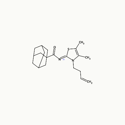 C=CCCn1c(C)c(C)s/c1=N\C(=O)C12CC3CC(CC(C3)C1)C2